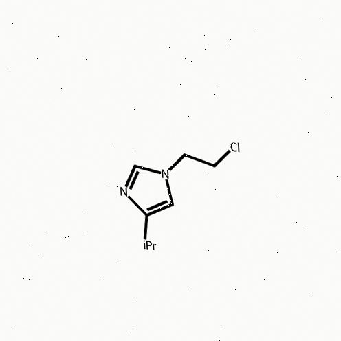 CC(C)c1cn(CCCl)cn1